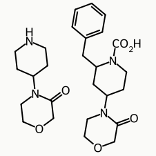 O=C(O)N1CCC(N2CCOCC2=O)CC1Cc1ccccc1.O=C1COCCN1C1CCNCC1